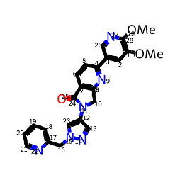 COc1cc(-c2ccc3c(n2)CN(c2cnn(Cc4ccccn4)c2)C3=O)cnc1OC